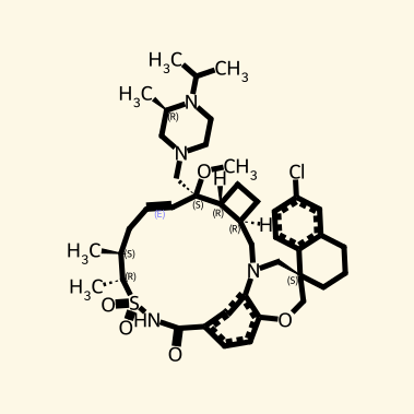 CO[C@]1(CN2CCN(C(C)C)[C@H](C)C2)/C=C/C[C@H](C)[C@@H](C)S(=O)(=O)NC(=O)c2ccc3c(c2)N(C[C@@H]2CC[C@H]21)C[C@@]1(CCCc2cc(Cl)ccc21)CO3